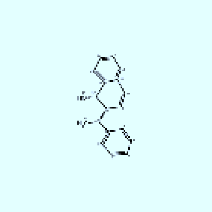 CN(c1ccccc1)[C@@H]1C=Cc2ccccc2[C@H]1O